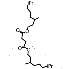 CC(C)CCCC(C)CCOC(=O)CCC(=O)OCCC(C)CCCC(C)C